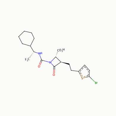 O=C(O)[C@@H]1[C@@H](CCc2ccc(Br)s2)C(=O)N1C(=O)N[C@@H](C1CCCCC1)C(F)(F)F